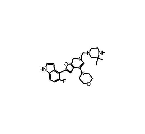 CC1(C)CN(CN2C=C(N3CCOCC3)c3cc(-c4c(F)ccc5[nH]ccc45)oc3C2)CCN1